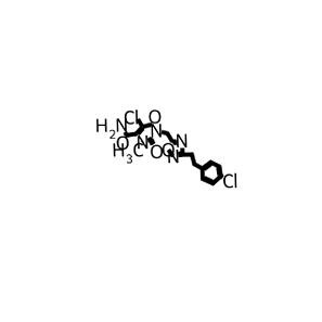 Cn1c(C(N)=O)c(Cl)c(=O)n(Cc2nc(CCc3ccc(Cl)cc3)no2)c1=O